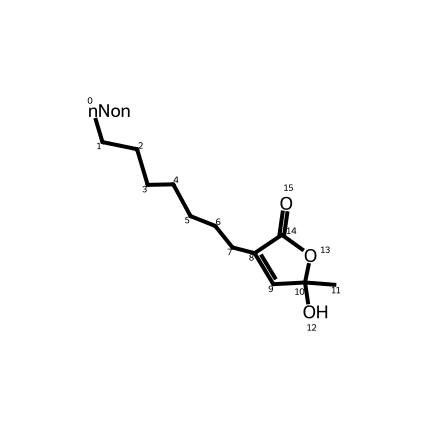 CCCCCCCCCCCCCCCCC1=CC(C)(O)OC1=O